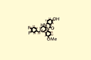 COc1ccc(N2C(=O)c3cc(O)ccc3NC23CCN(Cc2ccc(F)c(F)c2)CC3)cc1